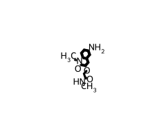 CCn1c(=O)c(OCC(=O)NC)cc2cc(N)ccc21